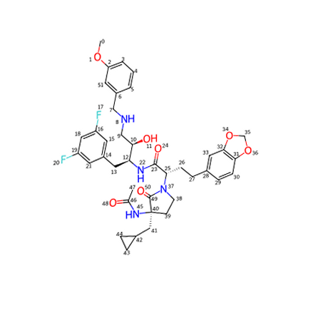 COc1cccc(CNC[C@@H](O)[C@H](Cc2cc(F)cc(F)c2)NC(=O)[C@H](CCc2ccc3c(c2)OCO3)N2CC[C@@](CC3CC3)(NC(C)=O)C2=O)c1